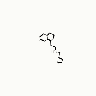 O=C(NCCc1cccc2ccc(O)cc12)c1ccco1